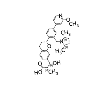 COc1cc(-c2ccc(C3CCc4ccc([C@H](O)[C@H](C)C(=O)O)cc4O3)c(CN3[C@H](C)CC[C@H]3C)c2)ccn1